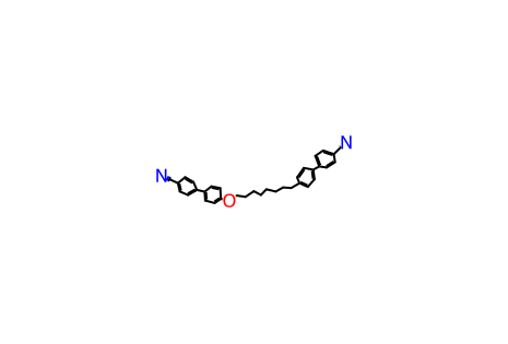 N#Cc1ccc(-c2ccc(CCCCCCCCOc3ccc(-c4ccc(C#N)cc4)cc3)cc2)cc1